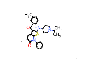 Cc1cccc(C(=O)c2c(NC3CCN(C(C)C)CC3)sc3c2ccc(=O)n3-c2ccccc2)c1